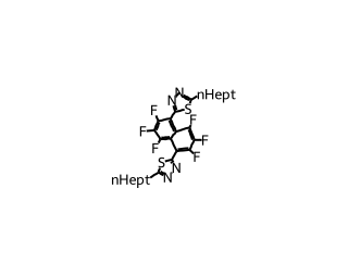 CCCCCCCc1nnc(-c2c(F)c(F)c(F)c3c(-c4nnc(CCCCCCC)s4)c(F)c(F)c(F)c23)s1